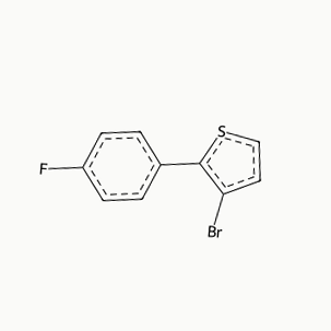 Fc1ccc(-c2sccc2Br)cc1